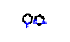 C1=CNCN=C1.C1CCNCC1